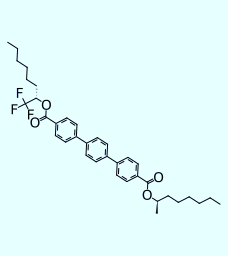 CCCCCC[C@@H](C)OC(=O)c1ccc(-c2ccc(-c3ccc(C(=O)O[C@@H](CCCCCC)C(F)(F)F)cc3)cc2)cc1